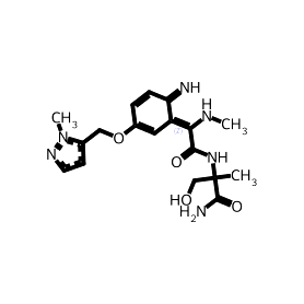 CN/C(C(=O)NC(C)(CO)C(N)=O)=C1/C=C(OCc2ccnn2C)C=CC1=N